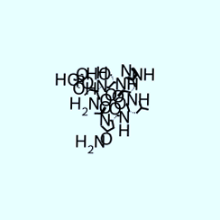 CC(=O)N1C[C@@H](ON)C[C@H]1C(=O)N[C@@H](CC(C)C)C(=O)N[C@@H](Cc1cnc[nH]1)C(=O)N[C@@H](CO)C(=O)N[C@H](C(N)=O)[C@@H](C)OP(=O)(O)O